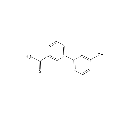 NC(=S)c1cccc(-c2cccc(O)c2)c1